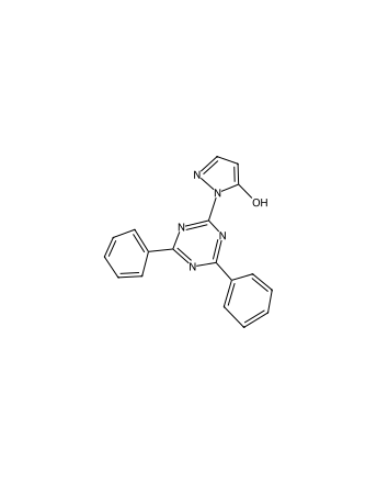 Oc1ccnn1-c1nc(-c2ccccc2)nc(-c2ccccc2)n1